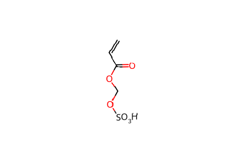 C=CC(=O)OCOS(=O)(=O)O